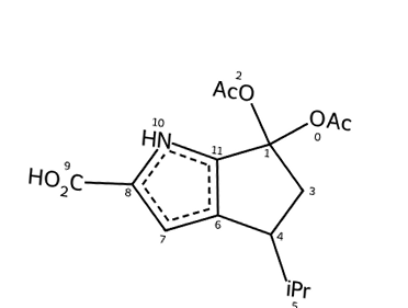 CC(=O)OC1(OC(C)=O)CC(C(C)C)c2cc(C(=O)O)[nH]c21